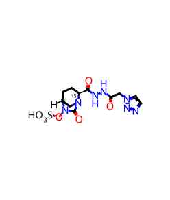 O=C(Cn1ccnn1)NNC(=O)[C@@H]1CC[C@@H]2CN1C(=O)N2OS(=O)(=O)O